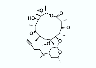 C#CCCN(C)[C@@H]1C[C@H](O[C@@H]2[C@@H](C)C(=O)[C@@H](C)C(=O)O[C@H](I)[C@@](C)(O)[C@H](O)[C@@H](C)C(=O)[C@H](C)C[C@@]2(C)OC)O[C@H](C)C1